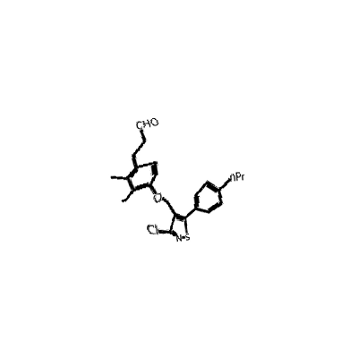 CCCc1ccc(-c2snc(Cl)c2COc2ccc(CCC=O)c(C)c2C)cc1